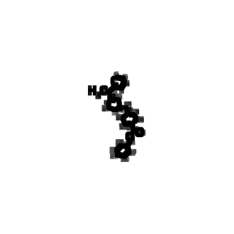 CC(c1ccccc1)N1CCC[C@H](CN2CCN(C(=O)OCc3ccccc3)CC2)C1